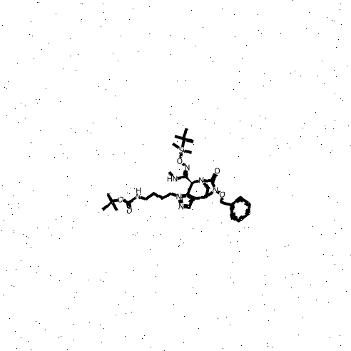 CN/C(=N\O[Si](C)(C)C(C)(C)C)[C@@H]1c2c(cnn2CCCCNC(=O)OC(C)(C)C)C2CN1C(=O)N2OCc1ccccc1